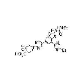 CCNC(=O)Nc1nc2cc(-c3cnc(N4CCC(C)(C(=O)O)CC4)nc3)cc(-c3cnc(CC)cn3)c2s1